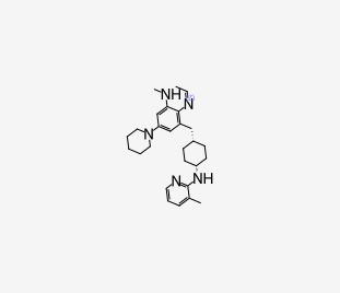 C/C=N\c1c(C[C@H]2CC[C@@H](Nc3ncccc3C)CC2)cc(N2CCCCC2)cc1NC